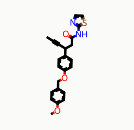 CC#CC(CC(=O)Nc1nccs1)c1ccc(OCc2ccc(OC)cc2)cc1